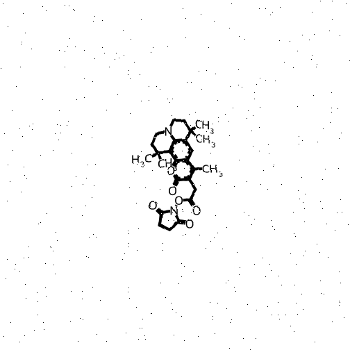 Cc1c(CC(=O)ON2C(=O)CCC2=O)c(=O)oc2c3c4c(cc12)C(C)(C)CCN4CCC3(C)C